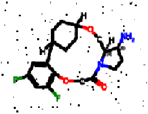 N[C@H]1CCN2C(=O)COc3c(F)cc(F)cc3[C@H]3CC[C@H](CC3)OC[C@@H]12